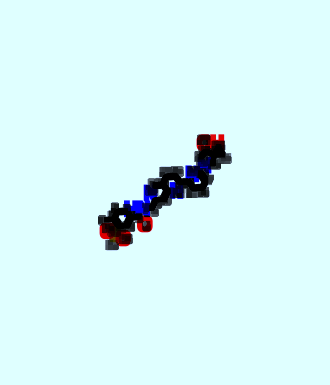 Cc1ccc(C(=O)NCc2cc3nc(-c4cccc(N5CC(O)C6(CC6)C5)n4)ccc3cn2)cc1S(C)(=O)=O